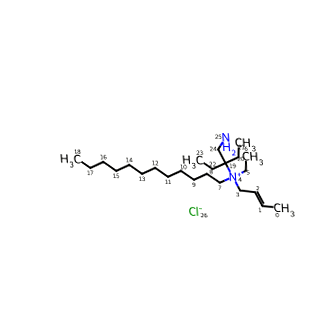 C/C=C/C[N+](CC)(CCCCCCCCCCCC)C(CC)(CC)CN.[Cl-]